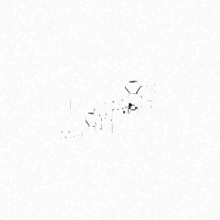 CCCN1C(=O)COc2cccc(S(=O)(=O)NC(=O)Nc3nc(C)cc(OC)n3)c21